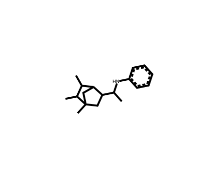 CC(Nc1ccccc1)C1CC2(C)CC1C(C)C2C